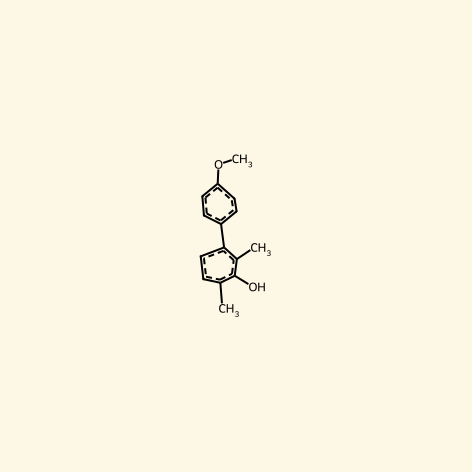 COc1ccc(-c2ccc(C)c(O)c2C)cc1